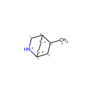 CC1CC2CCC1CN2